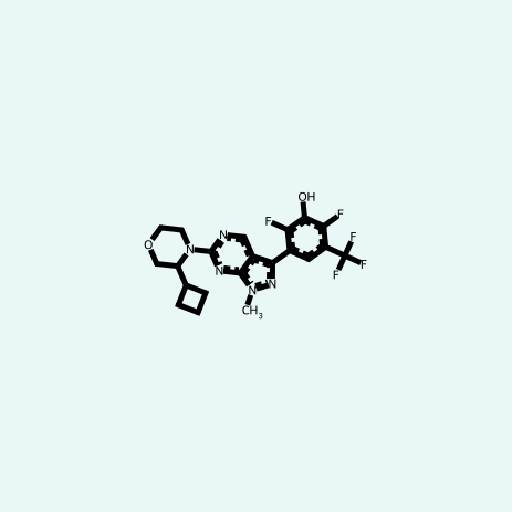 Cn1nc(-c2cc(C(F)(F)F)c(F)c(O)c2F)c2cnc(N3CCOCC3C3CCC3)nc21